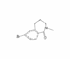 CN1CCCc2cc(Br)ccc2C1=O